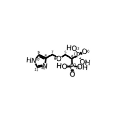 O=P(O)(O)C(COCc1c[nH]cn1)P(=O)(O)O